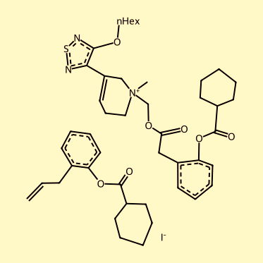 C=CCc1ccccc1OC(=O)C1CCCCC1.CCCCCCOc1nsnc1C1=CCC[N+](C)(COC(=O)Cc2ccccc2OC(=O)C2CCCCC2)C1.[I-]